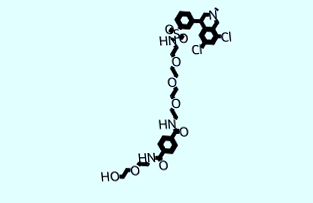 CN1Cc2c(Cl)cc(Cl)cc2C(c2cccc(S(=O)(=O)NCCOCCOCCOCCNC(=O)c3ccc(C(=O)NCCOCCO)cc3)c2)C1